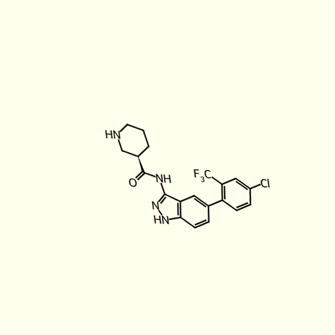 O=C(Nc1n[nH]c2ccc(-c3ccc(Cl)cc3C(F)(F)F)cc12)[C@@H]1CCCNC1